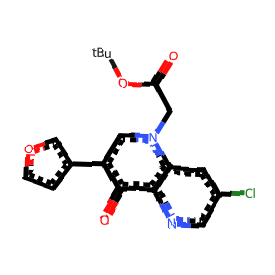 CC(C)(C)OC(=O)Cn1cc(-c2ccoc2)c(=O)c2ncc(Cl)cc21